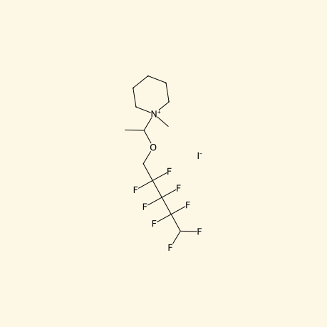 CC(OCC(F)(F)C(F)(F)C(F)(F)C(F)F)[N+]1(C)CCCCC1.[I-]